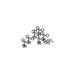 O=[PH]([O-])O[PH](=O)[O-].O=[PH]([O-])O[PH](=O)[O-].O=[PH]([O-])O[PH](=O)[O-].[Gd+3].[Gd+3]